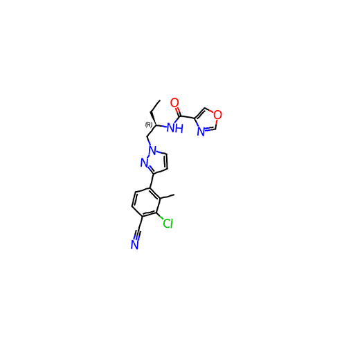 CC[C@H](Cn1ccc(-c2ccc(C#N)c(Cl)c2C)n1)NC(=O)c1cocn1